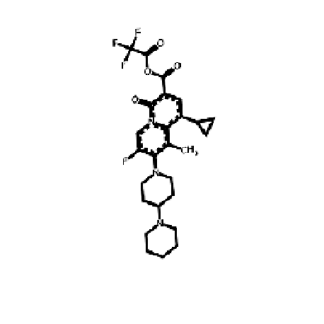 Cc1c(N2CCC(N3CCCCC3)CC2)c(F)cn2c(=O)c(C(=O)OC(=O)C(F)(F)F)cc(C3CC3)c12